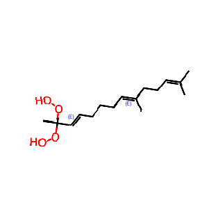 CC(C)=CCC/C(C)=C/CCC/C=C/C(C)(OO)OO